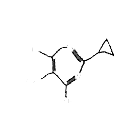 Cc1c(O)nc(C2CC2)nc1O